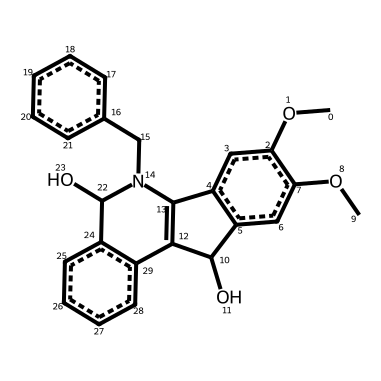 COc1cc2c(cc1OC)C(O)C1=C2N(Cc2ccccc2)C(O)c2ccccc21